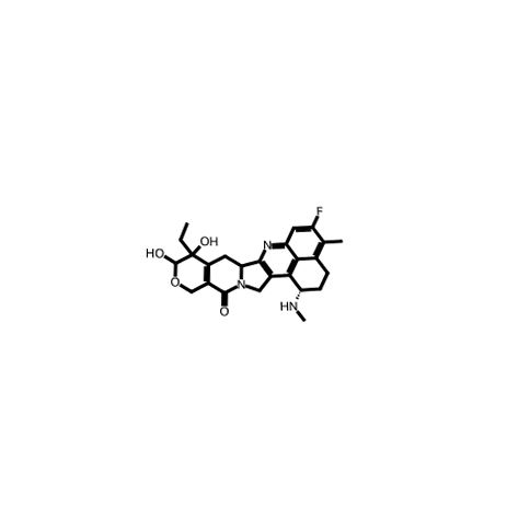 CCC1(O)C2=C(COC1O)C(=O)N1Cc3c(nc4cc(F)c(C)c5c4c3[C@@H](NC)CC5)C1C2